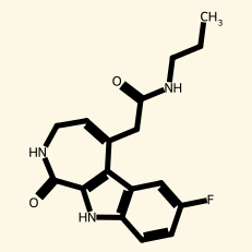 CCCNC(=O)CC1=CCNC(=O)c2[nH]c3ccc(F)cc3c21